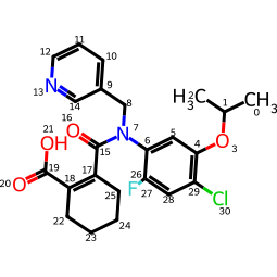 CC(C)Oc1cc(N(Cc2cccnc2)C(=O)C2=C(C(=O)O)CCCC2)c(F)cc1Cl